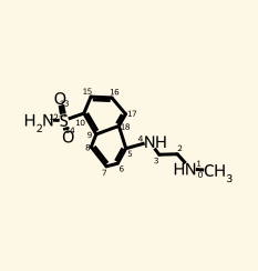 CNCCNc1cccc2c(S(N)(=O)=O)cccc12